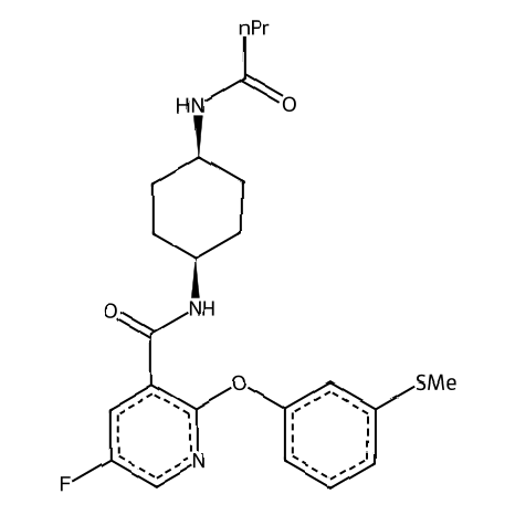 CCCC(=O)N[C@H]1CC[C@@H](NC(=O)c2cc(F)cnc2Oc2cccc(SC)c2)CC1